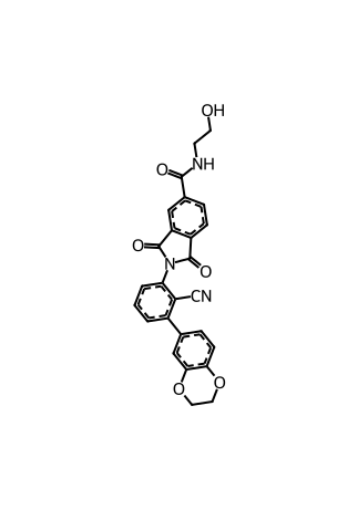 N#Cc1c(-c2ccc3c(c2)OCCO3)cccc1N1C(=O)c2ccc(C(=O)NCCO)cc2C1=O